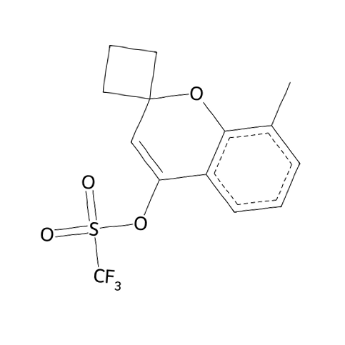 Cc1cccc2c1OC1(C=C2OS(=O)(=O)C(F)(F)F)CCC1